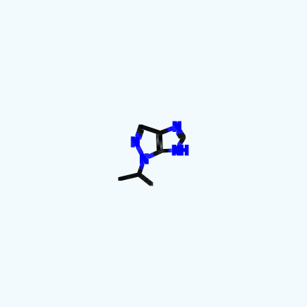 CC(C)n1ncc2nc[nH]c21